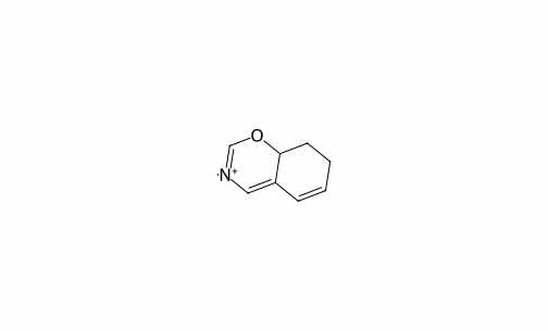 C1=CC2=C[N+]=COC2CC1